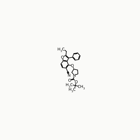 CCc1oc2ccc(C#N)c(O[C@H]3CCN(C(=O)OC(C)(C)C)C3)c2c1-c1ccccc1